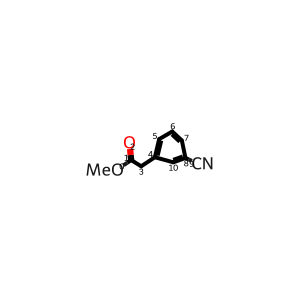 COC(=O)Cc1cccc(C#N)c1